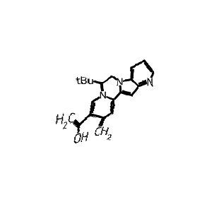 C=C(O)C1=CN2C(=CC1=C)c1cc3ncccc3n1CC2C(C)(C)C